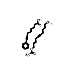 CCCCCC#CC/C=C/COC(C)=O.O=C(O)CC/C=C/CC#Cc1ccccc1